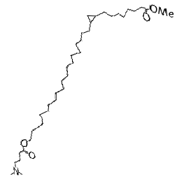 COC(=O)CCCCCCCC1CC1CCCCCCCCCCCCCCCCCCCOC(=O)CCCN(C)C